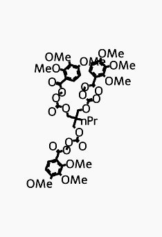 CCCC(COC(=O)OOC(=O)c1ccc(OC)c(OC)c1OC)(COC(=O)OOC(=O)c1ccc(OC)c(OC)c1OC)COC(=O)OOC(=O)c1ccc(OC)c(OC)c1OC